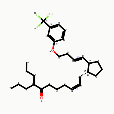 CCCC(CCC)C(=O)CCC/C=C\C[C@H]1CCCC1/C=C/CCOc1cccc(C(F)(F)F)c1